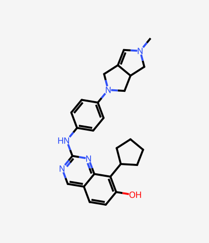 CN1C=C2CN(c3ccc(Nc4ncc5ccc(O)c(C6CCCC6)c5n4)cc3)CC2C1